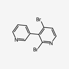 Brc1ccnc(Br)c1-c1cccnc1